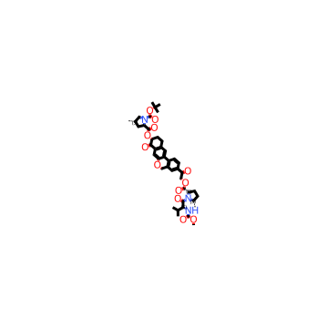 COC(=O)N[C@H](C(=O)N1[C@@H](C)CC[C@H]1C(=O)OCC(=O)c1ccc2c(c1)COc1cc3c(cc1-2)CCC(OC(=O)C1C[C@H](C)CN1C(=O)OC(C)(C)C)C3=O)C(C)C